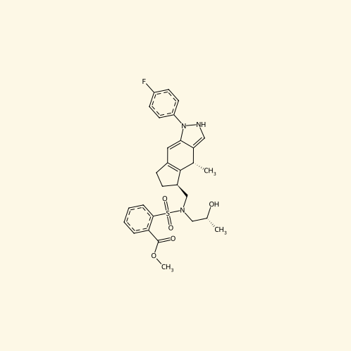 COC(=O)c1ccccc1S(=O)(=O)N(C[C@H]1CCC2=C1[C@@H](C)C1=CNN(c3ccc(F)cc3)C1=C2)C[C@@H](C)O